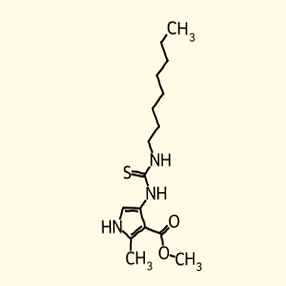 CCCCCCCCNC(=S)Nc1c[nH]c(C)c1C(=O)OC